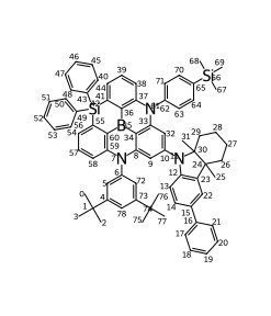 CC(C)(C)c1cc(N2c3cc(N4c5ccc(-c6ccccc6)cc5C5(C)CCCCC45C)cc4c3B3c5c(cccc5[Si](c5ccccc5)(c5ccccc5)c5cccc2c53)N4c2ccc([Si](C)(C)C)cc2)cc(C(C)(C)C)c1